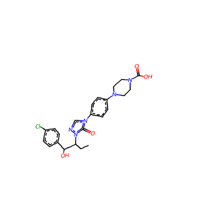 CCC(C(O)c1ccc(Cl)cc1)n1ncn(-c2ccc(N3CCN(C(=O)O)CC3)cc2)c1=O